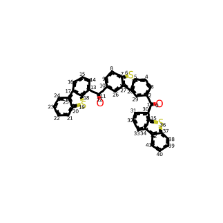 O=C(c1ccc2sc3ccc(C(=O)c4cccc5c4sc4ccccc45)cc3c2c1)c1cccc2c1sc1ccccc12